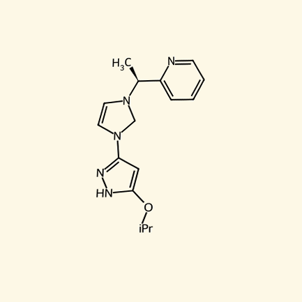 CC(C)Oc1cc(N2C=CN([C@@H](C)c3ccccn3)C2)n[nH]1